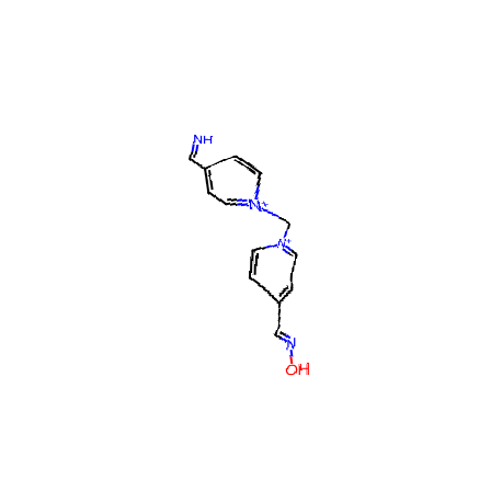 N=Cc1cc[n+](C[n+]2ccc(/C=N/O)cc2)cc1